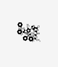 C=C1[C@@H](C(O[SiH](c2ccccc2)c2ccccc2)C(C)(C)C)[C@@H](O[Si](c2ccccc2)(c2ccccc2)C(C)(C)C)C[C@@H]1n1cnc2c(Cl)nc(NC(=O)OC(C)(C)C)nc21